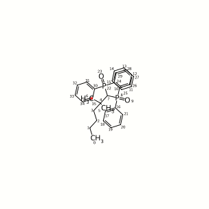 CCCCC(C)(C)C(P(=O)(c1ccccc1)c1ccccc1)P(=O)(c1ccccc1)c1ccccc1